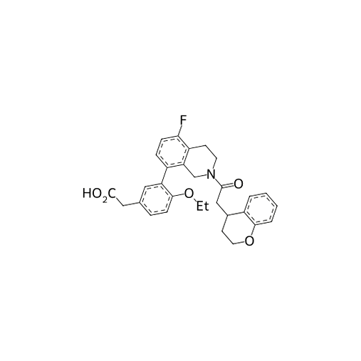 CCOc1ccc(CC(=O)O)cc1-c1ccc(F)c2c1CN(C(=O)CC1CCOc3ccccc31)CC2